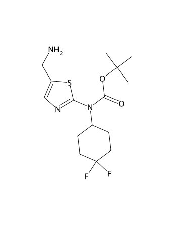 CC(C)(C)OC(=O)N(c1ncc(CN)s1)C1CCC(F)(F)CC1